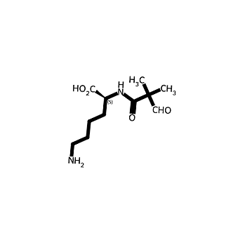 CC(C)(C=O)C(=O)N[C@@H](CCCCN)C(=O)O